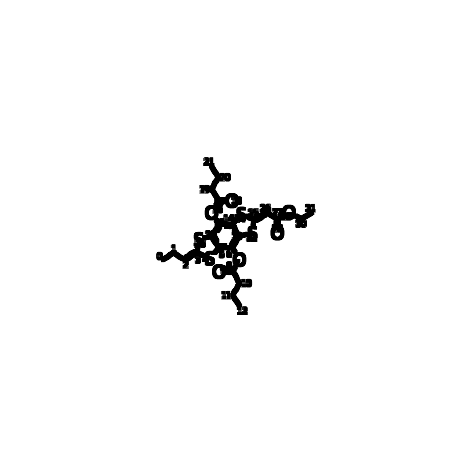 CCC=C1Sc2c(OC(=O)CCC)c3c(c(OC(=O)CCC)c2S1)SC(=CC(=O)OCC)S3